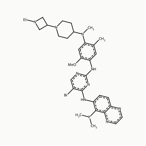 CCN1CC(N2CCC(N(C)c3cc(OC)c(Nc4ncc(Br)c(Nc5ccc6nccnc6c5P(C)C)n4)cc3C)CC2)C1